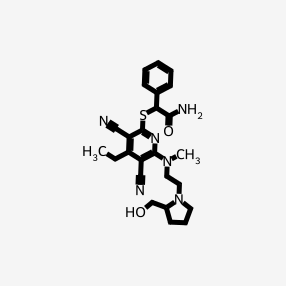 CCc1c(C#N)c(SC(C(N)=O)c2ccccc2)nc(N(C)CCN2CCCC2CO)c1C#N